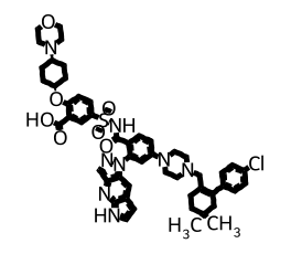 CC1(C)CCC(CN2CCN(c3ccc(C(=O)NS(=O)(=O)c4ccc(O[C@H]5CC[C@H](N6CCOCC6)CC5)c(C(=O)O)c4)c(-n4ncc5nc6[nH]ccc6cc54)c3)CC2)=C(c2ccc(Cl)cc2)C1